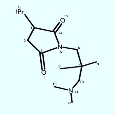 CC(C)C1CC(=O)N(CC(C)(C)CN(C)C)C1=O